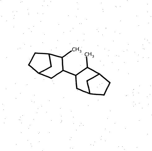 CC1C2CCC(C2)CC1C1CC2CCC(C2)C1C